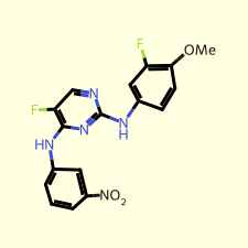 COc1ccc(Nc2ncc(F)c(Nc3cccc([N+](=O)[O-])c3)n2)cc1F